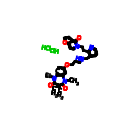 CCN1C(=O)C(C)(C)C(=O)N(C)c2cc(OCCCNCc3cccnc3CCn3ccc4occc4c3=O)ccc21.Cl.Cl